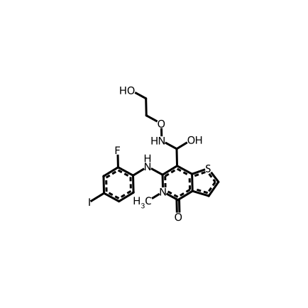 Cn1c(Nc2ccc(I)cc2F)c(C(O)NOCCO)c2sccc2c1=O